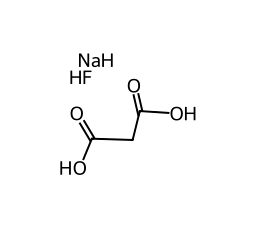 F.O=C(O)CC(=O)O.[NaH]